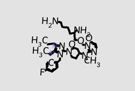 C/C=c1\c(=C/CC)nc(N2CCC(N(C)c3nccc(=O)n3COC(=O)C(N)CCCCN)CC2)n1Cc1ccc(F)cc1